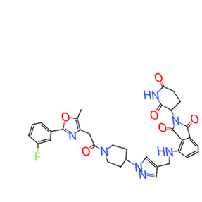 Cc1oc(-c2cccc(F)c2)nc1CC(=O)N1CCC(n2cc(CNc3cccc4c3C(=O)N(C3CCC(=O)NC3=O)C4=O)cn2)CC1